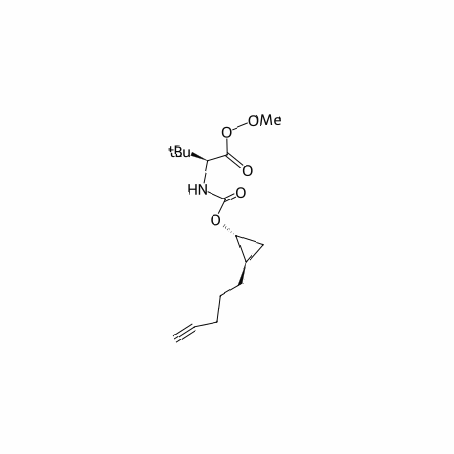 C#CCCC[C@@H]1C[C@H]1OC(=O)N[C@H](C(=O)OOC)C(C)(C)C